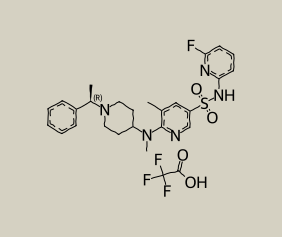 Cc1cc(S(=O)(=O)Nc2cccc(F)n2)cnc1N(C)C1CCN([C@H](C)c2ccccc2)CC1.O=C(O)C(F)(F)F